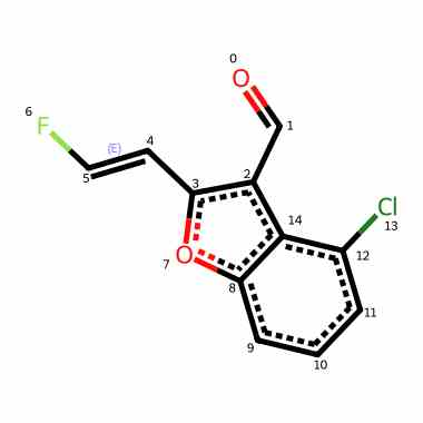 O=Cc1c(/C=C/F)oc2cccc(Cl)c12